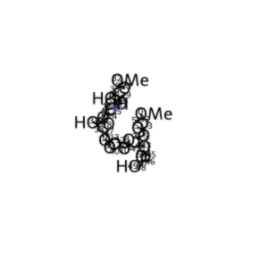 COC1CCC(OC2COC(OC3CCC(OC4COC(OC(CO)C/C=C/OC5COC(OC)CC5O)C(O)C4)OC3)CC2OC2CCC(CO)O2)OC1